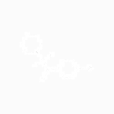 CCC(C)(C(=O)c1ccc(C(C)C)cc1)N1CCOCC1